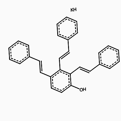 Oc1ccc(C=Cc2ccccc2)c(C=Cc2ccccc2)c1C=Cc1ccccc1.[KH]